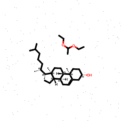 CC(C)CCC[C@@H](C)[C@H]1CC[C@H]2[C@@H]3CC=C4C[C@@H](O)CC[C@]4(C)[C@H]3CC[C@]12C.CCOC(C)OCC